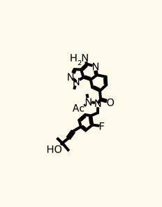 CC(=O)N(C)N(Cc1ccc(C#CC(C)(C)O)cc1F)C(=O)c1ccc2nc(N)c3cnn(C)c3c2c1